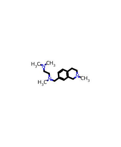 CN(C)CCN(C)Cc1ccc2c(c1)CN(C)CC2